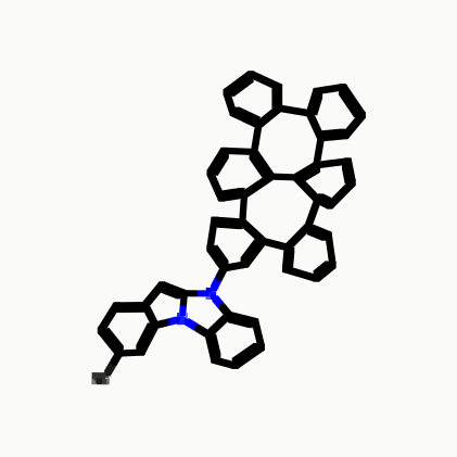 N#Cc1ccc2cc3n(-c4ccc5c6cccc7c6-c6c(cccc6c6ccccc6c5c4)c4ccccc4c4ccccc74)c4ccccc4n3c2c1